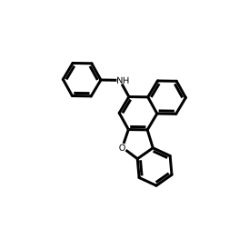 c1ccc(Nc2cc3oc4ccccc4c3c3ccccc23)cc1